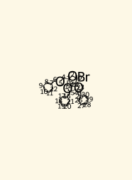 Br[C@H]1O[C@H](COCc2ccccc2)[C@@H](OCc2ccccc2)[C@@H]1OCc1ccccc1